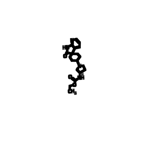 CCOC(=O)N[C@H]1CCN(C2CCC3(CC2)C(=O)Nc2ncccc23)C1